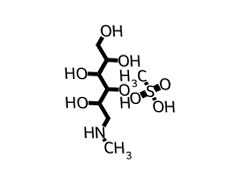 CNCC(O)C(O)C(O)C(O)CO.CS(=O)(=O)O